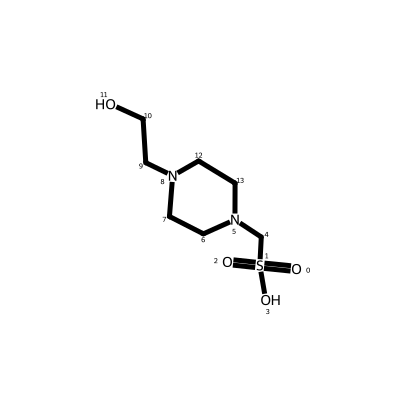 O=S(=O)(O)CN1CCN(CCO)CC1